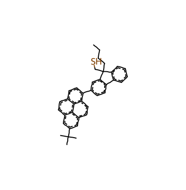 CCCCC1(CS)c2ccccc2-c2ccc(-c3ccc4ccc5cc(C(C)(C)C)cc6ccc3c4c56)cc21